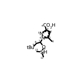 Cc1cc(C(=O)O)nn1C(CC(C)(C)C)O[SiH](C)C